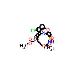 CCOC(=O)CO[C@H]1/C=C/COC(C)(C)C(=O)NS(=O)(=O)c2ccc3c(c2)N(C[C@@H]2CC[C@H]21)C[C@@]1(CCCc2cc(Cl)ccc21)CO3